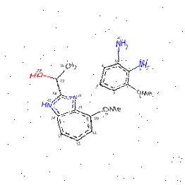 COc1cccc(N)c1N.COc1cccc2[nH]c(C(C)O)nc12